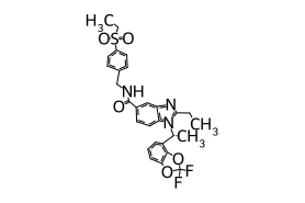 CCc1nc2cc(C(=O)NCc3ccc(S(=O)(=O)CC)cc3)ccc2n1[C@H](C)c1cccc2c1OC(F)(F)O2